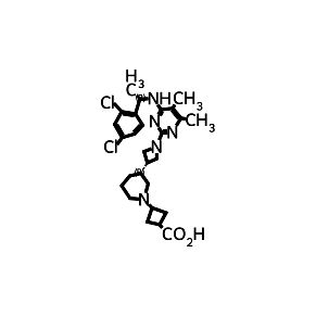 Cc1nc(N2CC([C@H]3CCCN(C4CC(C(=O)O)C4)C3)C2)nc(N[C@H](C)c2ccc(Cl)cc2Cl)c1C